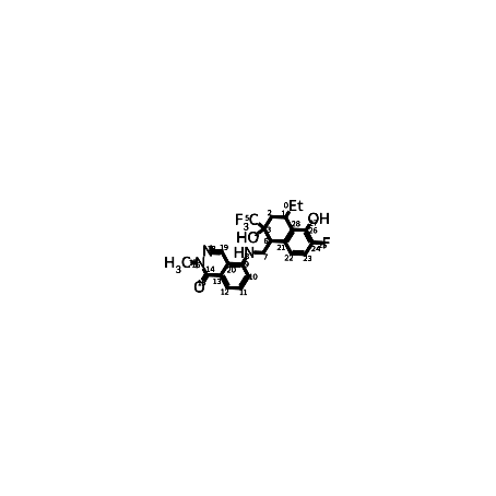 CCC1CC(O)(C(F)(F)F)C(CNc2cccc3c(=O)n(C)ncc23)c2ccc(F)c(O)c21